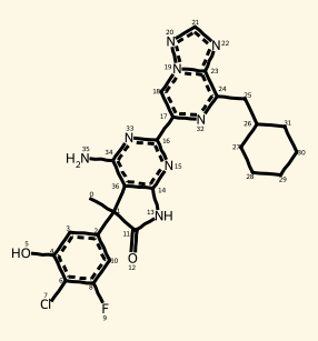 CC1(c2cc(O)c(Cl)c(F)c2)C(=O)Nc2nc(-c3cn4ncnc4c(CC4CCCCC4)n3)nc(N)c21